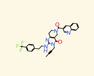 CC#CCn1c(NCCc2ccc(C(F)(F)F)cc2)nc2c(c1=O)CN(C(=O)c1cnc3ccccc3c1)CC2